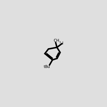 CC1(I)C=CC(C(C)(C)C)=CC1